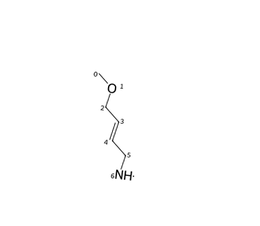 COCC=CC[NH]